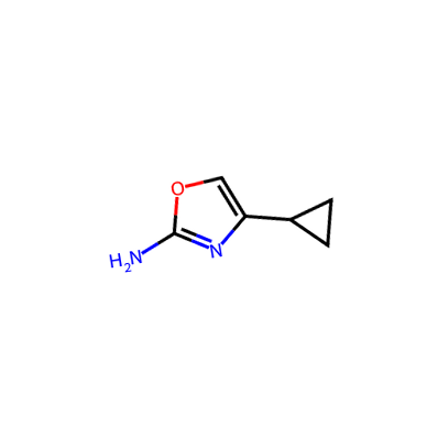 Nc1nc(C2CC2)co1